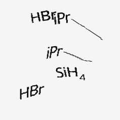 Br.Br.CC(C)C.CC(C)C.[SiH4]